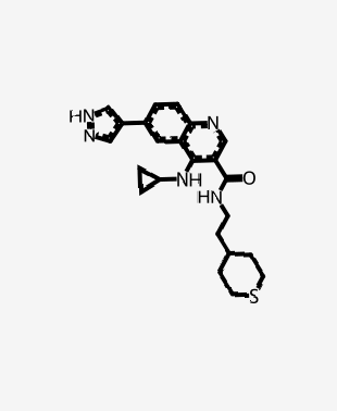 O=C(NCCC1CCSCC1)c1cnc2ccc(-c3cn[nH]c3)cc2c1NC1CC1